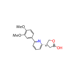 COc1ccc(-c2cccc([C@@H]3COB(O)C3)n2)cc1OC